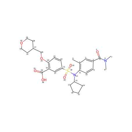 Cc1cc(C(=O)N(C)C)ccc1N(C1CCCC1)S(=O)(=O)c1ccc(OCC2CCOCC2)c(C(=O)O)c1